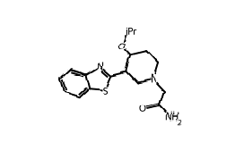 CC(C)OC1CCN(CC(N)=O)CC1c1nc2ccccc2s1